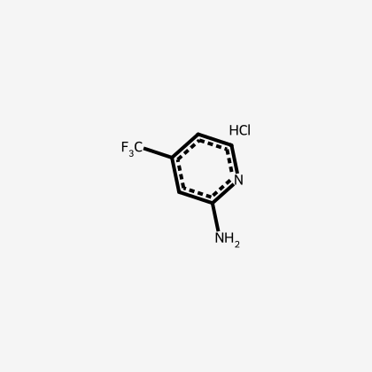 Cl.Nc1cc(C(F)(F)F)ccn1